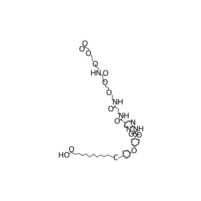 COC(=O)COCCOCCNC(=O)COCCOCCNC(=O)CCNC(=O)c1cnc(NS(=O)(=O)c2ccc(Oc3ccc(CCCCCCCCCCCCCC(=O)O)cc3)cc2)nc1